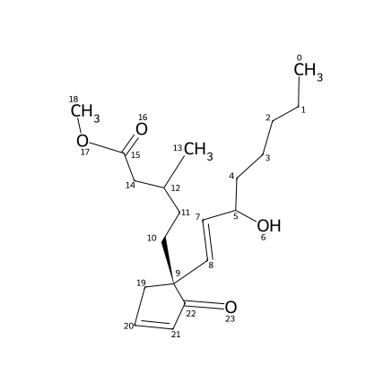 CCCCCC(O)/C=C/[C@@]1(CCC(C)CC(=O)OC)CC=CC1=O